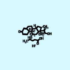 CCCCC(=O)O.C[C@H]1C[C@H]2[C@@H]3CCC4=CC(=O)C=C[C@]4(C)[C@@]3(F)[C@@H](O)C[C@]2(C)[C@@]1(O)C(=O)CO.F